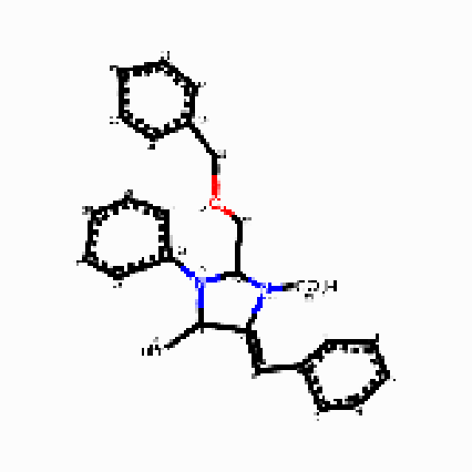 CCCC1C(=Cc2ccccc2)N(C(=O)O)C(COCc2ccccc2)N1c1ccccc1